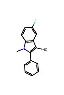 Cn1c(-c2ccccc2)c(N=O)c2cc(F)ccc21